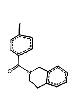 Cc1ccc(C(=O)N2CCc3ccccc3C2)cc1